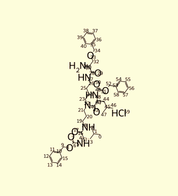 CC(C)C[C@H](NC(=O)OCc1ccccc1)C(=O)NCCCN(CCCCNC(=O)[C@@H](N)COCc1ccccc1)C(=O)[C@H](CC(C)C)NC(=O)OCc1ccccc1.Cl